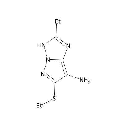 CCSc1nn2[nH]c(CC)nc2c1N